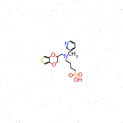 CN(CCCCS(=O)(=O)O)CC1COc2cscc2O1.c1ccncc1